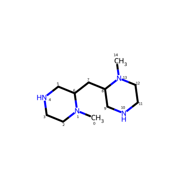 CN1CCNCC1CC1CNCCN1C